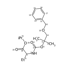 CCC(NC(=O)OC(C)(C)COCc1ccccc1)C(=O)OC(C)C